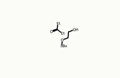 CCC(=O)CC.CCCCOCCO